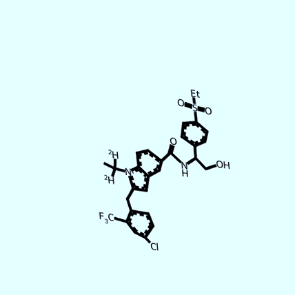 [2H]C([2H])(C)n1c(Cc2ccc(Cl)cc2C(F)(F)F)cc2cc(C(=O)NC(CO)c3ccc(S(=O)(=O)CC)cc3)ccc21